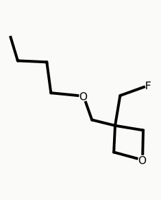 CCCCOCC1(CF)COC1